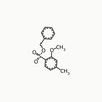 COc1cc(C)ccc1S(=O)(=O)O[I]c1ccccc1